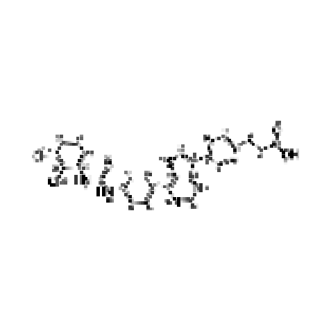 O=C(O)CCc1ccc(-c2csc3c(-c4ccc(NC(=O)Nc5cccc(Cl)c5Cl)cc4)ncnc23)cc1